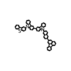 c1ccc2c(c1)-c1cccc3cc(-c4ccc5cc(-n6c7ccccc7c7cc(-c8ccc9c(c8)c8ccccc8n9-c8ccc9sc%10ccccc%10c9c8)ccc76)ccc5c4)cc-2c13